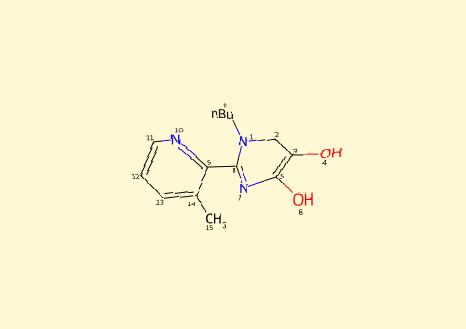 CCCCN1CC(O)=C(O)N=C1c1ncccc1C